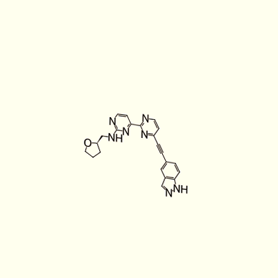 C(#Cc1ccnc(-c2ccnc(NC[C@H]3CCCO3)n2)n1)c1ccc2[nH]ncc2c1